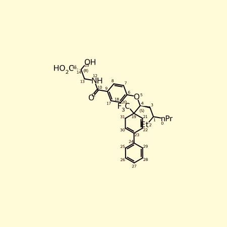 CCCC(CC)C[C@H](Oc1ccc(C(=O)NC[C@@H](O)C(=O)O)cc1)C1(C(F)(F)F)C=CC(c2ccccc2)=CC1